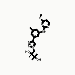 COc1ccnc(Nc2cc(C)cc(-c3cn(C[C@@](C)(O)C(C)(C)O)nn3)c2)n1